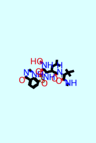 CNC(=O)[C@H](NC(=O)C(CC(C)C)C(NS(=O)(=O)c1cccc2c(=O)nc[nH]c12)C(=O)NO)C(C)(C)C